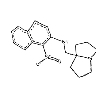 O=[N+]([O-])c1c(NCC23CCCN2CCC3)ccc2ccccc12